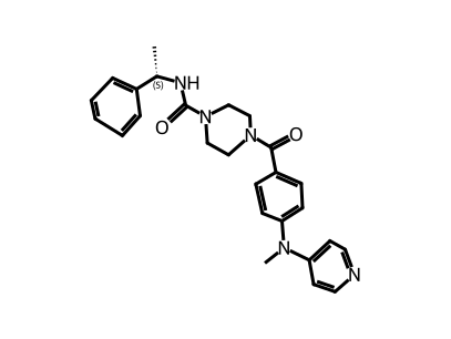 C[C@H](NC(=O)N1CCN(C(=O)c2ccc(N(C)c3ccncc3)cc2)CC1)c1ccccc1